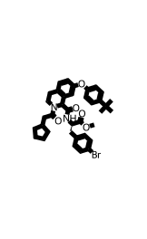 COC(=O)[C@H](Cc1ccc(Br)cc1)NC(=O)C1c2cc(Oc3ccc(C(C)(C)C)cc3)ccc2CCN1C(=O)CC1CCCC1